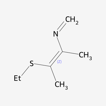 C=N/C(C)=C(/C)SCC